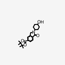 CC1(C)OB(c2ccc3c(c2)CN(C2CCC(O)CC2)C3=O)OC1(C)C